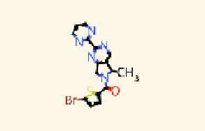 CC1c2cnc(-c3ncccn3)nc2CN1C(=O)c1ccc(Br)s1